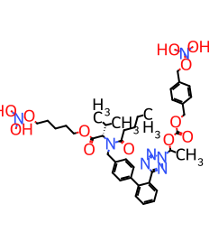 CCCCC(=O)N(Cc1ccc(-c2ccccc2-c2nnn(C(C)OC(=O)OCc3ccc(CON(O)O)cc3)n2)cc1)[C@H](C(=O)OCCCCCON(O)O)C(C)C